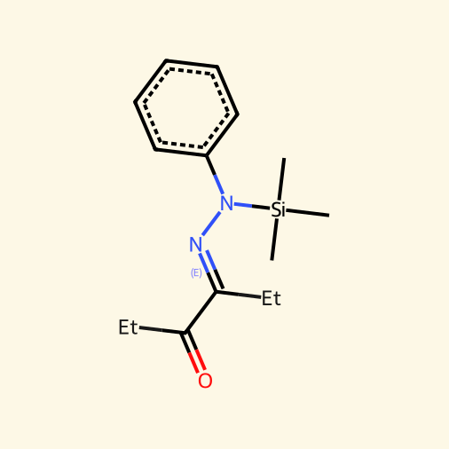 CCC(=O)/C(CC)=N/N(c1ccccc1)[Si](C)(C)C